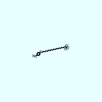 N#Cc1ccc(OCCCCCCCCCCCCCCCCCC[Si](Cl)(Cl)Cl)cc1